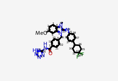 COc1ccc2c(c1)n(Cc1ccc(C(=O)Nc3nnn[nH]3)cc1)c(=Nc1ccc(C3CCC(F)(F)CC3)cc1)n2C